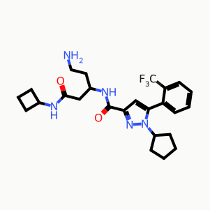 NCCC(CC(=O)NC1CCC1)NC(=O)c1cc(-c2ccccc2C(F)(F)F)n(C2CCCC2)n1